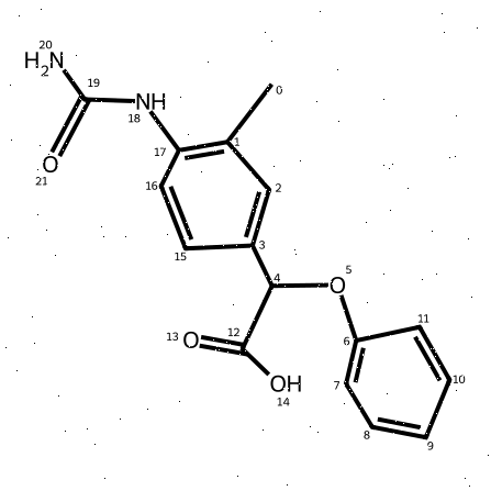 Cc1cc(C(Oc2ccccc2)C(=O)O)ccc1NC(N)=O